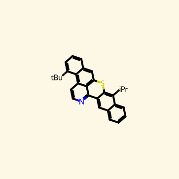 CC(C)c1c2c(cc3ccccc13)-c1nccc3c1c(cc1cccc(C(C)(C)C)c13)S2